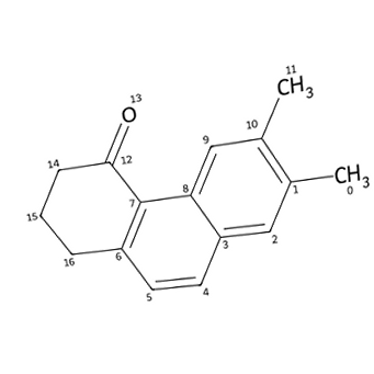 Cc1cc2ccc3c(c2cc1C)C(=O)CCC3